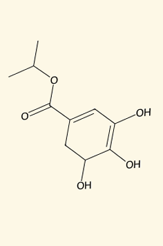 CC(C)OC(=O)C1=CC(O)=C(O)C(O)C1